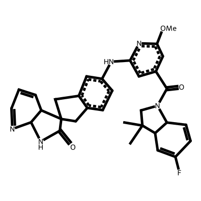 COc1cc(C(=O)N2CC(C)(C)C3C=C(F)C=CC32)cc(Nc2ccc3c(c2)CC2(C3)C(=O)NC3N=CC=CC32)n1